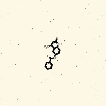 O=C(Nc1ccc2[nH]c(=O)cc(C(F)(F)F)c2c1)c1ccccc1